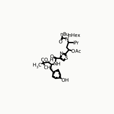 CCCCCCN(C(=O)CCCC)C(CC(OC(C)=O)c1nc(C(=O)NC(Cc2ccc(O)cc2)CC(C)(C)C(=O)O)cs1)C(C)C